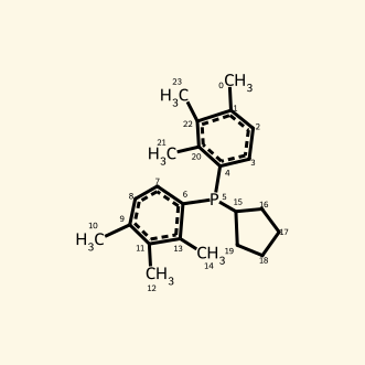 Cc1ccc(P(c2ccc(C)c(C)c2C)C2CCCC2)c(C)c1C